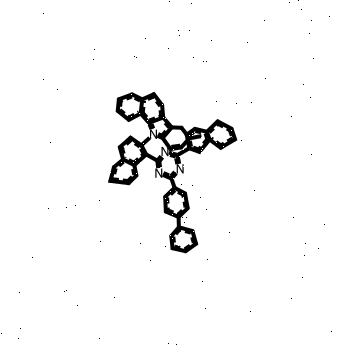 CC1C=Cc2c(c3ccc4ccccc4c3n2-c2ccc3ccccc3c2-c2nc(-c3ccc(-c4ccccc4)cc3)nc(-c3ccc4ccccc4c3)n2)C1